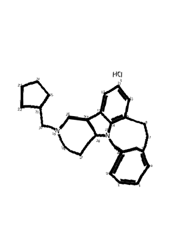 Cl.c1ccc2c(c1)CCc1cccc3c1N2C1CCN(CC2CCCC2)CC31